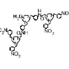 CN1CCN(Cc2cccc(NC(=O)CN3CCN(Cc4cccc([N+](=O)[O-])c4)CCN(Cc4cccc([N+](=O)[O-])c4)CC3)c2)CCN(Cc2cccc(NC(=O)CN3CCN(Cc4cccc([N+](=O)[O-])c4)CCN(Cc4cccc([N+](=O)[O-])c4)CC3)c2)CC1